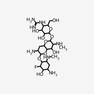 CNC1CC(N)C(O)C(F)C1OC1OC2C(CC1N)OC(OC1OC(CO)C(NC(=N)N)C(O)C1O)C(NC)C2O